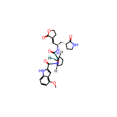 COc1cccc2[nH]c(C(=O)N3[C@H]4CC[C@@H]([C@@H]3C(=O)N[C@@H](/C=C3\CCOC3=O)C[C@H]3CCNC3=O)C(F)(F)C4)cc12